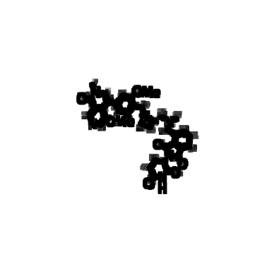 COc1cc(-c2cn(C)c(=O)c3cnccc23)cc(OC)c1CN1CC[C@H]1CN(C)Cc1cccc2c1C(=O)N(C1CCC(=O)NC1=O)C2=O